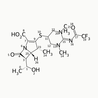 C[C@@H](O)[C@H]1C(=O)N2C(C(=O)O)=C(SC3CN(C)C(=NC(=O)C(F)(F)F)N(C)C3)[C@H](C)[C@H]12